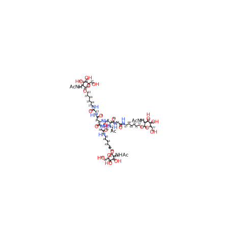 CC(=O)CNC(C[C@H](O)NC(CC(=O)NCC(=O)NCCCCCCO[C@@H]1OC(CO)[C@H](O)C(O)[C@@H]1NC(C)=O)C(=O)NCC(=O)NCCCCCCO[C@@H]1OC(CO)[C@H](O)C(O)[C@@H]1NC(C)=O)C(=O)NCC(=O)NCCCCCCO[C@@H]1OC(CO)[C@H](O)C(O)[C@@H]1NC(C)=O